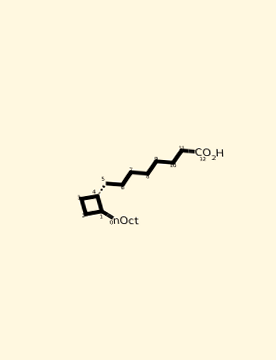 CCCCCCCCC1CC[C@@H]1CCCCCCCC(=O)O